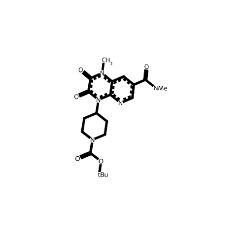 CNC(=O)c1cnc2c(c1)n(C)c(=O)c(=O)n2C1CCN(C(=O)OC(C)(C)C)CC1